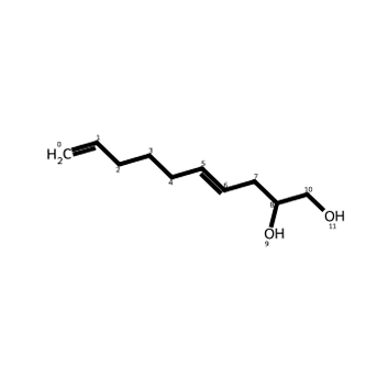 C=CCCCC=CCC(O)CO